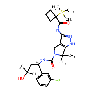 CC(C)(O)C[C@@H](NC(=O)N1Cc2c(NC(=O)C3(S(C)(C)C)CCC3)n[nH]c2C1(C)C)c1cccc(F)c1